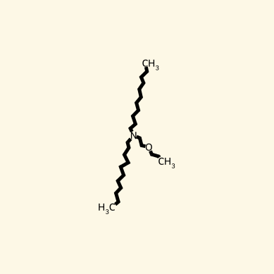 CCCCCCCCCCCN(CCCCCCCCCCC)CCOCCC